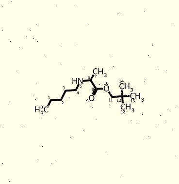 CCCCCNC(C)C(=O)OCC(C)(C)C